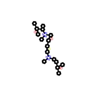 c1ccc(-c2cc(-c3cc(-c4nc(-c5ccccc5)nc(-c5cccc6oc7cc(-c8ccc9c(c8)sc8cc(-c%10nc(-c%11ccccc%11)nc(-c%11ccc%12ccc(-c%13ccc(-c%14ccccc%14)c%14oc%15ccccc%15c%13%14)cc%12c%11)n%10)ccc89)ccc7c56)n4)cc4ccccc34)c3c(c2)oc2ccccc23)cc1